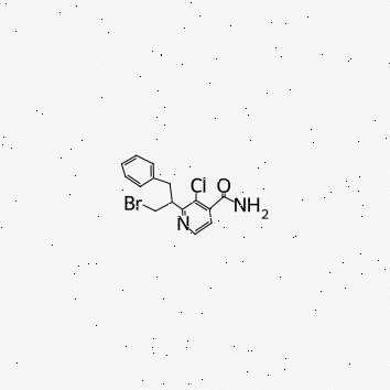 NC(=O)c1ccnc(C(CBr)Cc2ccccc2)c1Cl